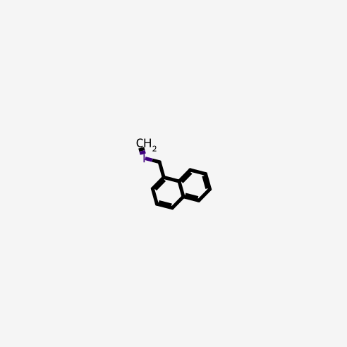 C=ICc1cccc2ccccc12